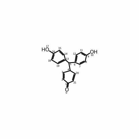 O=C1C=CC(C(c2ccc(O)cc2)c2ccc(O)cc2)C=C1